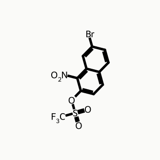 O=[N+]([O-])c1c(OS(=O)(=O)C(F)(F)F)ccc2ccc(Br)cc12